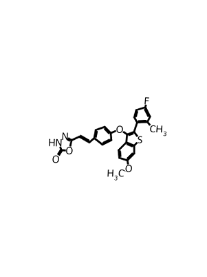 COc1ccc2c(Oc3ccc(C=Cc4n[nH]c(=O)o4)cc3)c(-c3ccc(F)cc3C)sc2c1